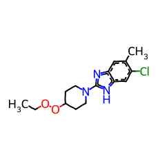 CCOOC1CCN(c2nc3cc(C)c(Cl)cc3[nH]2)CC1